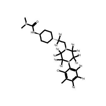 [2H]c1c([2H])c(C)c(Cl)c(N2C([2H])([2H])C([2H])([2H])N(CC([2H])([2H])[C@H]3CC[C@H](NC(=O)N(C)C)CC3)C([2H])([2H])C2([2H])[2H])c1[2H]